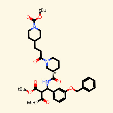 COC(=O)C(C(=O)OC(C)(C)C)C(NC(=O)[C@@H]1CCCN(C(=O)CCC2CCN(C(=O)OC(C)(C)C)CC2)C1)c1cccc(OCc2ccccc2)c1